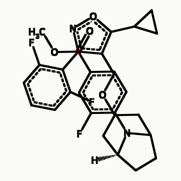 COC(=O)c1ccc(N2C3CC[C@H]2CC(OCc2c(-c4c(F)cccc4F)noc2C2CC2)C3)c(F)c1